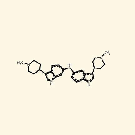 CN1CCC(c2c[nH]c3cc(Nc4ccc5[nH]cc(C6CCN(C)CC6)c5c4)ccc23)CC1